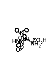 CC(=O)O.NCCCn1cc(-c2nc3c4c(ccc3[nH]c2=O)OCCO4)c2cc(N(Cc3ccccc3)Cc3ccccc3)ccc21